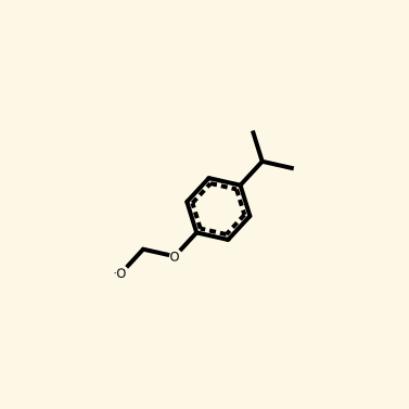 CC(C)c1ccc(OC[O])cc1